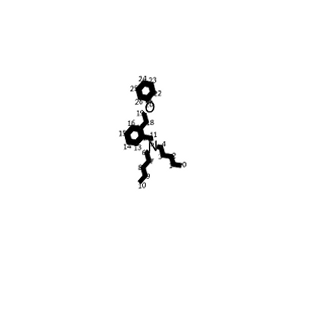 CCCCCN(CCCCC)Cc1ccccc1CCOc1ccccc1